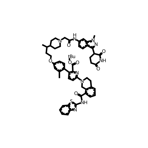 Cc1cc(OCCC(C)C2CCN(CC(=O)Nc3ccc4c(C5CCC(=O)NC5=O)nn(C)c4c3)CC2)ccc1-c1ccc(N2CCc3cccc(C(=O)Nc4nc5ccccc5s4)c3C2)nc1C(=O)OC(C)(C)C